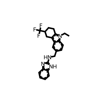 CCn1c2c(c3cc(CNc4nc5ccccc5[nH]4)ccc31)CC(C(F)(F)F)CC2